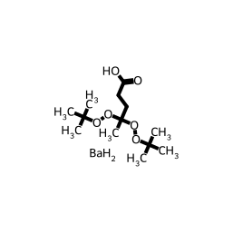 CC(C)(C)OOC(C)(CCC(=O)O)OOC(C)(C)C.[BaH2]